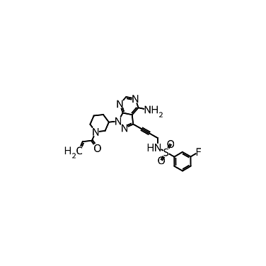 C=CC(=O)N1CCCC(n2nc(C#CCNS(=O)(=O)c3cccc(F)c3)c3c(N)ncnc32)C1